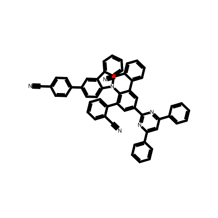 N#Cc1ccc(-c2ccc3c(c2)c2ccccc2n3-c2c(-c3ccccc3C#N)cc(-c3nc(-c4ccccc4)cc(-c4ccccc4)n3)cc2-c2ccccc2C#N)cc1